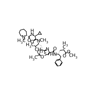 COC(=O)[C@@H](C)C[C@H](Cc1ccccc1)NC(=O)c1csc([C@@H](C[C@H](C(C)C)N(C)C(=O)[C@@H](NC(=O)[C@H]2CCCCCN2C)C2CC2)OC(C)=O)n1